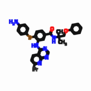 CC(C)c1ccc2c(Nc3cc(C(=O)NC(C)(C)COc4ccccc4)ccc3Sc3ccc(N)cc3)ncnc2n1